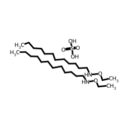 CCCCCCCCCCCCNOCC.CCCCCCCCCCCCNOCC.O=S(=O)(O)O